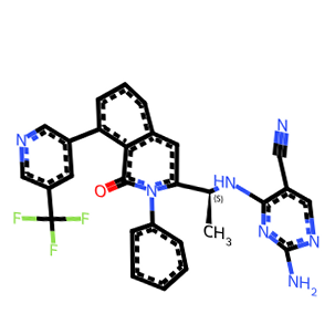 C[C@H](Nc1nc(N)ncc1C#N)c1cc2cccc(-c3cncc(C(F)(F)F)c3)c2c(=O)n1-c1ccccc1